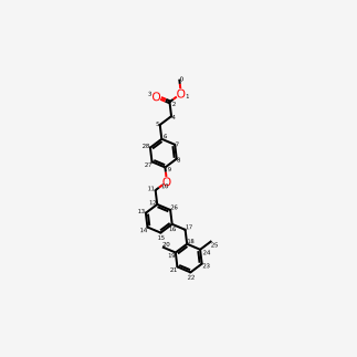 COC(=O)CCc1ccc(OCc2cccc(Cc3c(C)cccc3C)c2)cc1